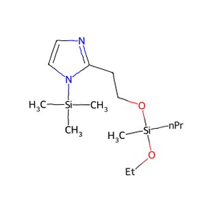 CCC[Si](C)(OCC)OCCc1nccn1[Si](C)(C)C